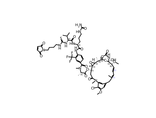 COc1cc2cc(c1Cl)N(C)C(=O)C[C@H](OC(=O)[C@H](C)N(C)C(=O)c1ccc(NC(=O)[C@H](CCCNC(N)=O)NC(=O)[C@@H](NC(=S)NCCCCN3C(=O)C=CC3=O)C(C)C)c(C(F)(F)F)c1)[C@]1(C)O[C@H]1[C@H](C)[C@@H]1C[C@@](O)(NC(=O)O1)[C@H](OC)/C=C/C=C(\C)C2